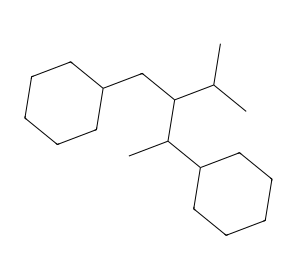 CC(C)C(CC1CCCCC1)C(C)C1CCCCC1